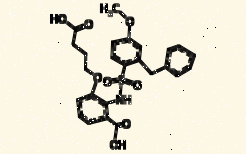 COc1ccc(S(=O)(=O)Nc2c(OCCCC(=O)O)cccc2C(=O)O)c(Cc2ccccc2)c1